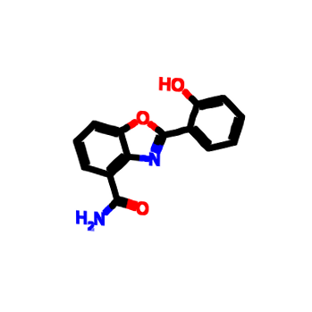 NC(=O)c1cccc2oc(-c3ccccc3O)nc12